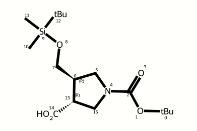 CC(C)(C)OC(=O)N1C[C@H](CO[Si](C)(C)C(C)(C)C)[C@@H](C(=O)O)C1